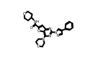 O=C(NC1CCOCC1)c1cc2nc(-n3cc(-c4ccccc4)cn3)nc(N3CCOCC3)c2o1